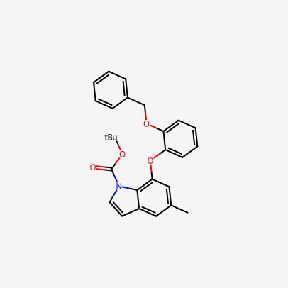 Cc1cc(Oc2ccccc2OCc2ccccc2)c2c(ccn2C(=O)OC(C)(C)C)c1